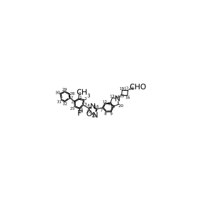 Cc1cc(-c2nc(-c3ccc4c(c3)CN([C@H]3C[C@H](C=O)C3)C4)no2)c(F)cc1-c1ccccc1